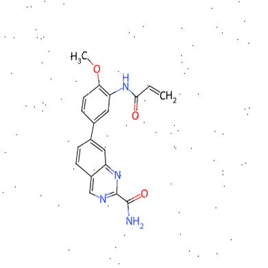 C=CC(=O)Nc1cc(-c2ccc3cnc(C(N)=O)nc3c2)ccc1OC